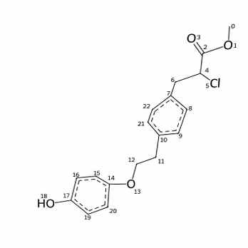 COC(=O)C(Cl)Cc1ccc(CCOc2ccc(O)cc2)cc1